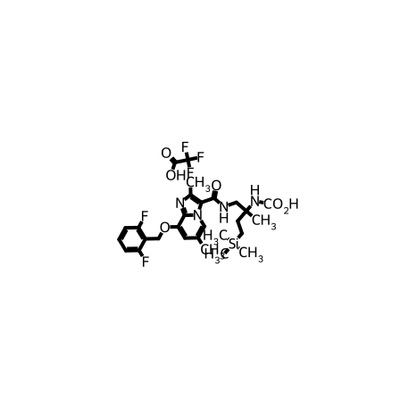 Cc1cc(OCc2c(F)cccc2F)c2nc(C)c(C(=O)NCC(C)(CC[Si](C)(C)C)NC(=O)O)n2c1.O=C(O)C(F)(F)F